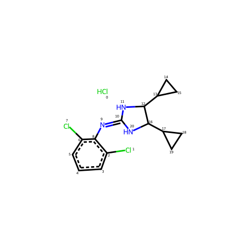 Cl.Clc1cccc(Cl)c1N=C1NC(C2CC2)C(C2CC2)N1